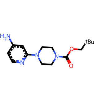 CC(C)(C)COC(=O)N1CCN(c2cc(N)ccn2)CC1